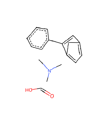 C1=C2C=C(c3ccccc3)C(=C1)C2.CN(C)C.O=CO